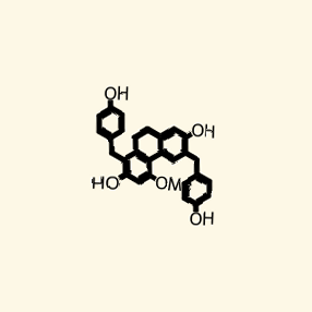 COc1cc(O)c(Cc2ccc(O)cc2)c2c1-c1cc(Cc3ccc(O)cc3)c(O)cc1CC2